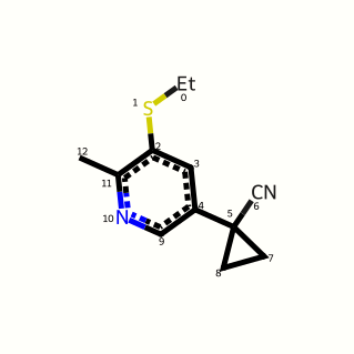 CCSc1cc(C2(C#N)CC2)cnc1C